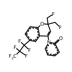 O=c1ccccn1C1=CC(CF)(CF)Oc2ccc(C(F)(F)C(F)(F)C(F)(F)F)cc21